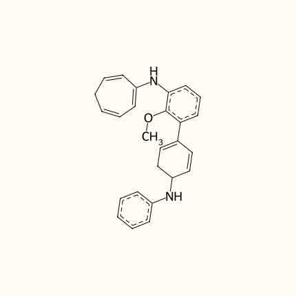 COc1c(NC2=CC=CCC=C2)cccc1C1=CCC(Nc2ccccc2)C=C1